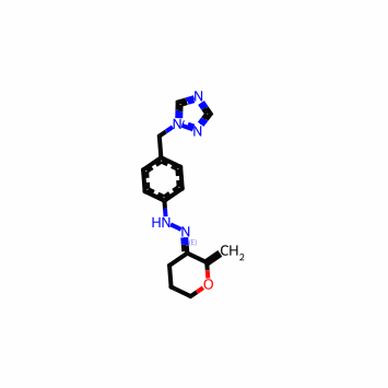 C=C1OCCC/C1=N\Nc1ccc(Cn2cncn2)cc1